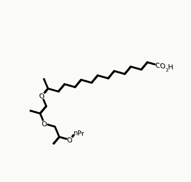 C[CH]COC(C)COC(C)COC(C)CCCCCCCCCCCCC(=O)O